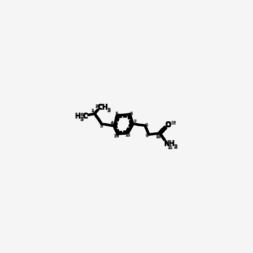 CC(C)Cc1ccc(CCC(N)=O)cc1